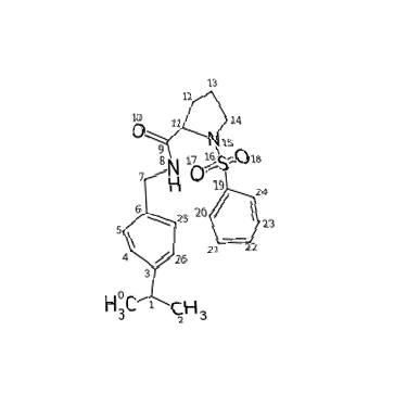 CC(C)c1ccc(CNC(=O)C2CCCN2S(=O)(=O)c2ccccc2)cc1